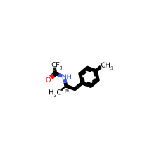 Cc1ccc(C[C@@H](C)NC(=O)C(F)(F)F)cc1